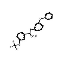 CC(C)C(F)(F)Sc1cccc(C(Cc2cccc(Oc3ccccc3)c2)C(=O)O)c1